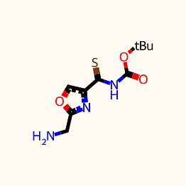 CC(C)(C)OC(=O)NC(=S)c1coc(CN)n1